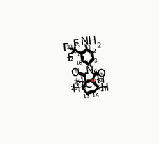 Nc1ccc(N2C(=O)[C@@H]3[C@H](C2=O)[C@@H]2C=C[C@H]3CC2)cc1C(F)(F)F